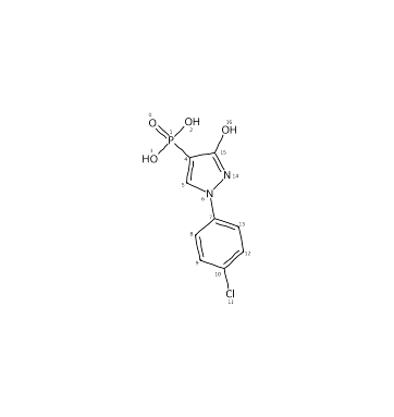 O=P(O)(O)c1cn(-c2ccc(Cl)cc2)nc1O